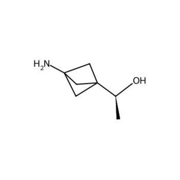 C[C@H](O)C12CC(N)(C1)C2